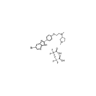 CN1CCC(N(C)CCOc2ccc(-c3nc4cc(Br)cnc4[nH]3)cc2)C1.O=C(O)C(F)(F)F.O=C(O)C(F)(F)F